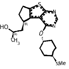 CN[C@H]1CC[C@H](Oc2ncnc3sc4c(c23)[C@@H](C[C@@H](C)O)CC4)CC1